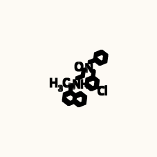 C[C@@H](NCCC(=O)N(Cc1ccccc1)Cc1cccc(Cl)c1)c1cccc2ccccc12